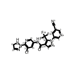 N#Cc1cncc(-n2ncc(C(=O)Nc3cnc(N4N=CCN4)c(Cl)c3)c2C(F)(F)F)c1